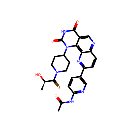 CC(=O)Nc1ccc(-c2ccc3ncc4c(=O)[nH]c(=O)n(C5CCN(C(=S)[C@@H](C)O)CC5)c4c3n2)cn1